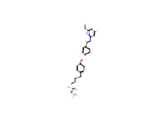 CCc1cccc(C=Cc2ccc(OC(=O)c3ccc(CCCC[Si](C)(C)C[Si](C)(C)C)cc3)cc2)n1